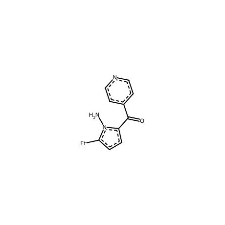 CCc1ccc(C(=O)c2ccncc2)n1N